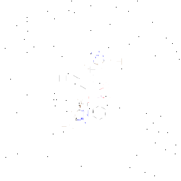 CC/C=C(\C=C(\CSc1nnc(S)s1)C(C)C(=O)P(=O)(OCC)c1ccccc1)CSc1nnc(S)s1